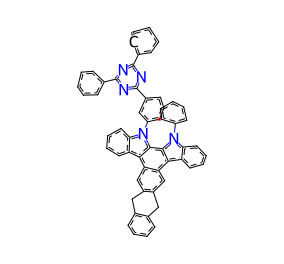 c1ccc(-c2nc(-c3ccccc3)nc(-c3cccc(-n4c5ccccc5c5c6cc7c(cc6c6c8ccccc8n(-c8ccccc8)c6c54)Cc4ccccc4C7)c3)n2)cc1